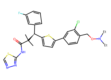 CCN(CC)OCc1ccc(-c2ccc([C@H](c3cccc(F)c3)C(C)(C)C(=O)Nc3nncs3)s2)cc1Cl